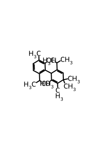 CC1=C(O)C(c2c(C(C)C)ccc(C)c2O)C(C(C)C)=CC1(C)C